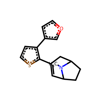 CN1C2C=C(c3sccc3-c3ccoc3)CC1CC2